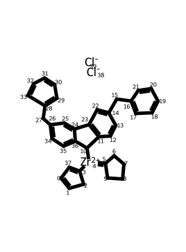 C1=CC[C]([Zr+2](=[C]2CCCC2)[CH]2c3ccc(Cc4ccccc4)cc3-c3cc(Cc4ccccc4)ccc32)=C1.[Cl-].[Cl-]